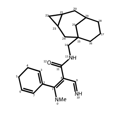 CN/C(C1=CCCC=C1)=C(\C=N)C(=O)NCC12CCCC(CC3CC3C1)C2